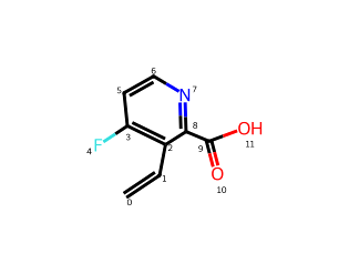 C=Cc1c(F)ccnc1C(=O)O